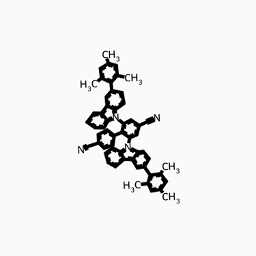 Cc1cc(C)c(-c2ccc3c(c2)c2ccccc2n3-c2cc(C#N)cc(-n3c4ccccc4c4cc(-c5c(C)cc(C)cc5C)ccc43)c2-c2ccc(C#N)cc2)c(C)c1